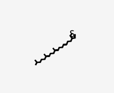 C/C(=C\CC/C=C/CCc1ccsc1)CC/C=C(\C)CCCC(C)C